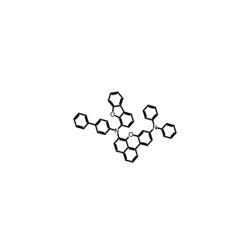 c1ccc(-c2ccc(N(c3ccc4cccc5c4c3Oc3cc(N(c4ccccc4)c4ccccc4)ccc3-5)c3cccc4c3oc3ccccc34)cc2)cc1